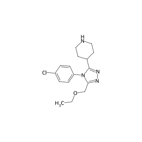 CCOCc1nnc(C2CCNCC2)n1-c1ccc(Cl)cc1